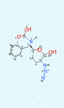 CN(C(=O)O)C(c1ccccc1)[C@@H]1CC[C@@H](N=[N+]=[N-])C(O)O1